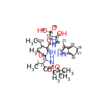 CCC(C)C(NC(=O)OC(C)(C)C)C(=O)NC(C(=O)N[C@@H](Cc1c[nH]c2ccccc12)C(O)CC(=O)O)C(C)CC